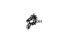 O=C(O)CN1CC2CC1CN2c1cc(C(F)(F)F)ccc1CN1CCCC12CCN(C(=O)OC(C(F)(F)F)C(F)(F)F)CC2